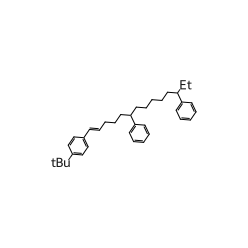 CCC(CCCCCC(CCCC=Cc1ccc(C(C)(C)C)cc1)c1ccccc1)c1ccccc1